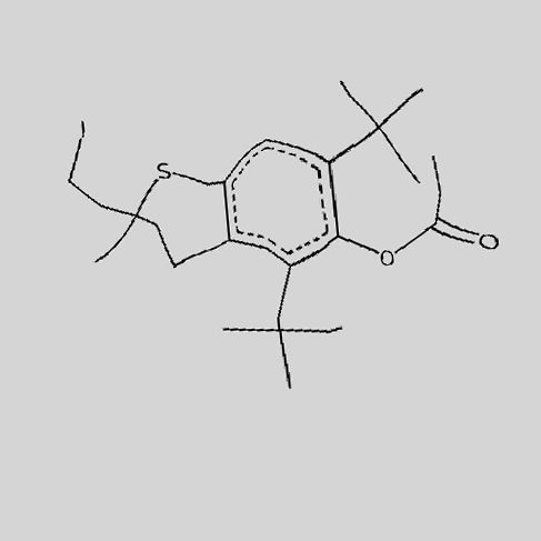 CC(=O)Oc1c(C(C)(C)C)cc2c(c1C(C)(C)C)CC(C)(CI)S2